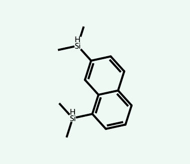 C[SiH](C)c1ccc2cccc([SiH](C)C)c2c1